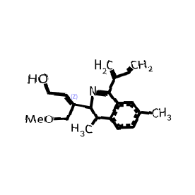 C=CC(=C)C1=NC(/C(=C/CO)COC)C(C)c2ccc(C)cc21